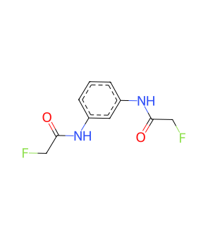 O=C(CF)Nc1cccc(NC(=O)CF)c1